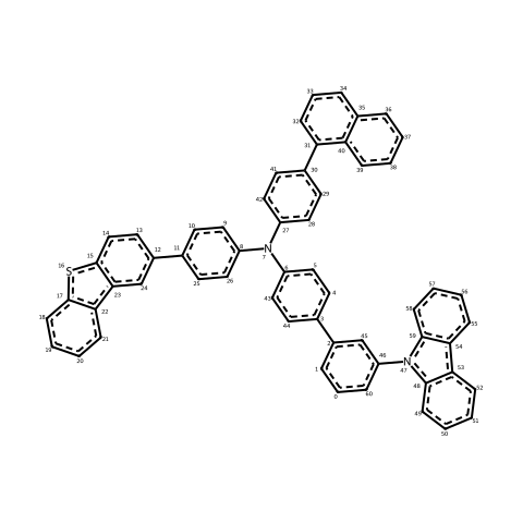 c1cc(-c2ccc(N(c3ccc(-c4ccc5sc6ccccc6c5c4)cc3)c3ccc(-c4cccc5ccccc45)cc3)cc2)cc(-n2c3ccccc3c3ccccc32)c1